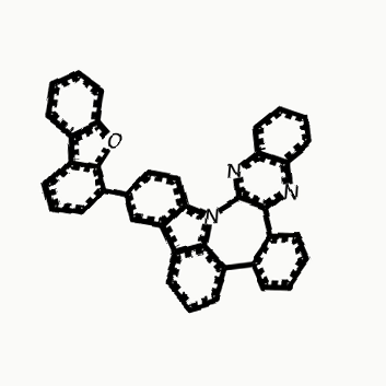 c1ccc2c(c1)-c1nc3ccccc3nc1-n1c3ccc(-c4cccc5c4oc4ccccc45)cc3c3cccc-2c31